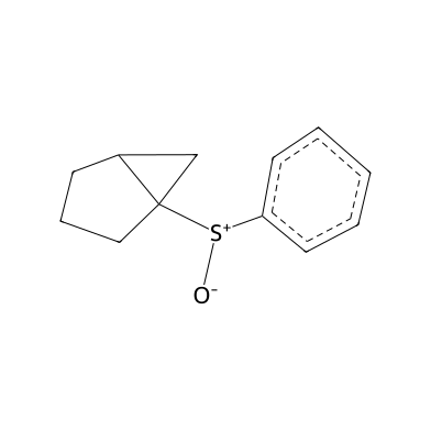 [O-][S+](c1ccccc1)C12CCCC1C2